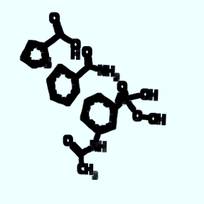 CC(=O)Nc1cccc([As](=O)(O)OO)c1.NC(=O)c1ccccc1.O=C(O)c1cccs1